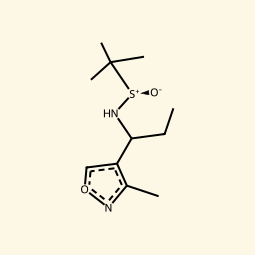 CCC(N[S@+]([O-])C(C)(C)C)c1conc1C